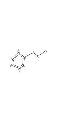 COCc1[c]nccn1